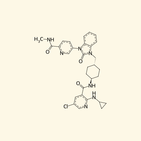 CNC(=O)c1ccc(-n2c(=O)n(C[C@H]3CC[C@H](NC(=O)c4cc(Cl)cnc4NC4CC4)CC3)c3ccccc32)cn1